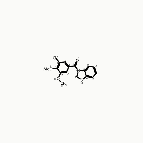 COc1c(Cl)cc(C(=O)N2CSc3ccccc32)cc1OC(F)(F)F